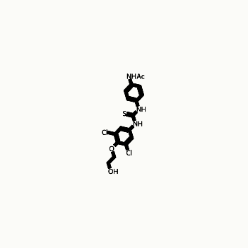 CC(=O)Nc1ccc(NC(=S)Nc2cc(Cl)c(OCCO)c(Cl)c2)cc1